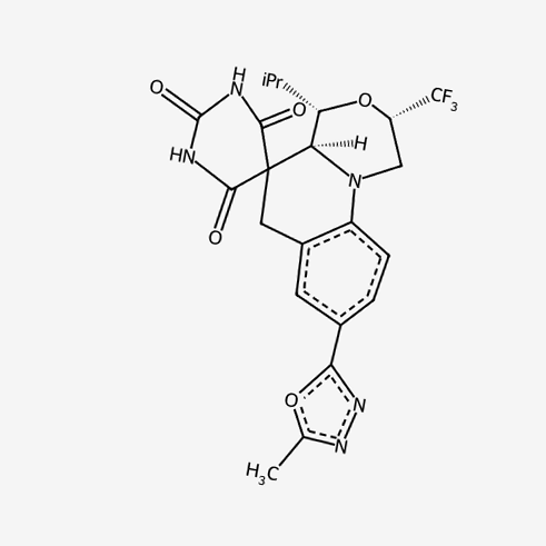 Cc1nnc(-c2ccc3c(c2)CC2(C(=O)NC(=O)NC2=O)[C@H]2[C@H](C(C)C)O[C@H](C(F)(F)F)CN32)o1